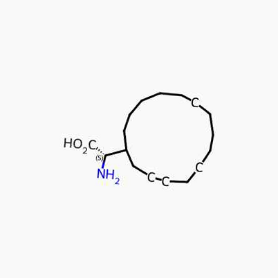 N[C@H](C(=O)O)C1CCCCCCCCCCCCCC1